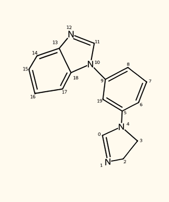 C1=NCCN1c1cccc(-n2cnc3ccccc32)c1